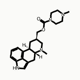 CN1CCN(C(=O)OC[C@@H]2C[C@@H]3c4cccc5[nH]cc(c45)C[C@H]3N(C)C2)CC1